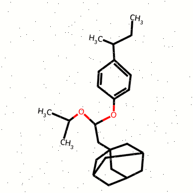 CCC(C)c1ccc(OC(CC23CC4CC(CC(C4)C2)C3)OC(C)C)cc1